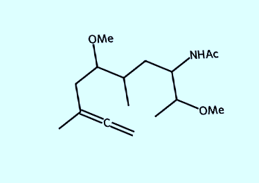 C=C=C(C)CC(OC)C(C)CC(NC(C)=O)C(C)OC